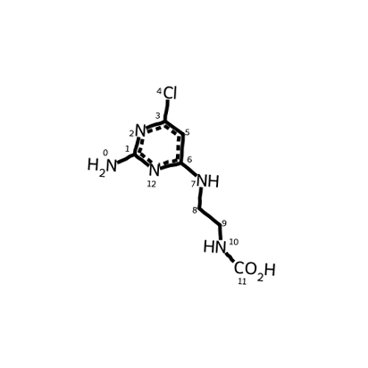 Nc1nc(Cl)cc(NCCNC(=O)O)n1